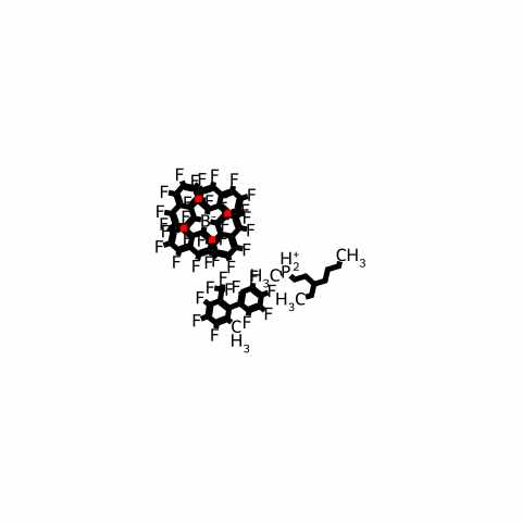 CCCCC(CC)CC[PH2+]C.Cc1c(F)c(F)c(F)c(C(F)(F)F)c1-c1c(F)c(F)c(F)c(F)c1F.Fc1c(F)c(F)c2c([B-](c3c(F)c(F)c(F)c4c(F)c(F)c(F)c(F)c34)(c3c(F)c(F)c(F)c4c(F)c(F)c(F)c(F)c34)c3c(F)c(F)c(F)c4c(F)c(F)c(F)c(F)c34)c(F)c(F)c(F)c2c1F